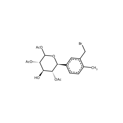 CC(=O)OC1O[C@@H](c2ccc(C)c(CBr)c2)[C@H](OC(C)=O)[C@@H](O)[C@@H]1OC(C)=O